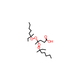 CCCCCC(C)(CC)OOC(C)(CCC(=O)O)OOC(C)(CC)CCCCC